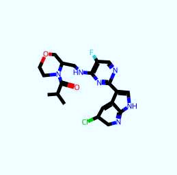 CC(C)C(=O)N1CCOCC1CNc1nc(-c2c[nH]c3c2=CC(Cl)CN=3)ncc1F